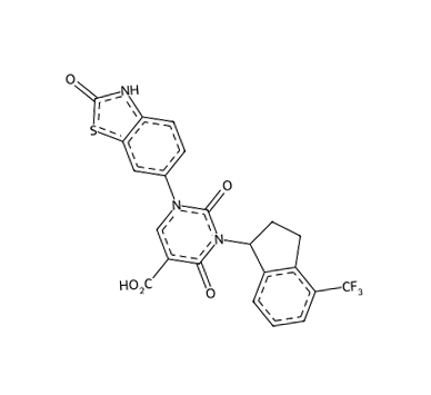 O=C(O)c1cn(-c2ccc3[nH]c(=O)sc3c2)c(=O)n(C2CCc3c2cccc3C(F)(F)F)c1=O